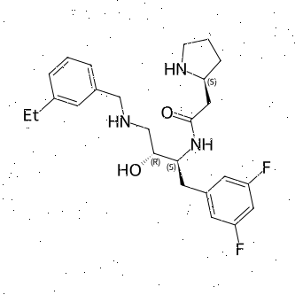 CCc1cccc(CNC[C@@H](O)[C@H](Cc2cc(F)cc(F)c2)NC(=O)C[C@@H]2CCCN2)c1